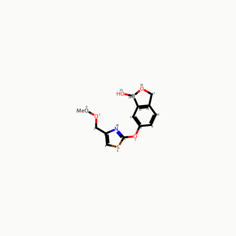 COOCc1csc(Oc2ccc3c(c2)B(O)OC3)n1